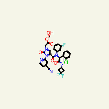 N#Cc1ccnc(N2C(=O)N(CC(=O)OCO)C[C@H]2C(=O)N(c2cccc(F)c2)C(C(=O)NC2CC(F)(F)C2)c2ccccc2Cl)c1